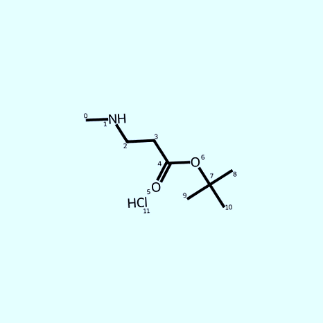 CNCCC(=O)OC(C)(C)C.Cl